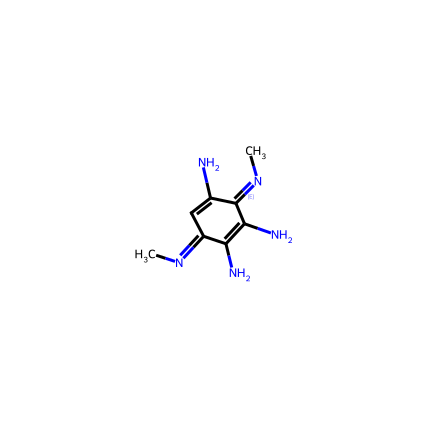 CN=C1C=C(N)/C(=N\C)C(N)=C1N